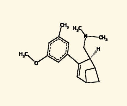 COc1cc(C)cc(C2=CC3CC(C3)[C@@H]2CN(C)C)c1